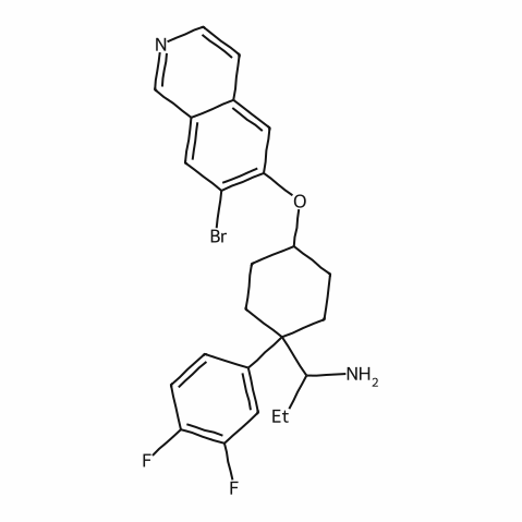 CCC(N)C1(c2ccc(F)c(F)c2)CCC(Oc2cc3ccncc3cc2Br)CC1